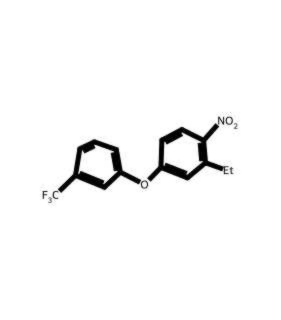 CCc1cc(Oc2cccc(C(F)(F)F)c2)ccc1[N+](=O)[O-]